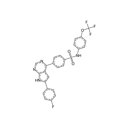 O=S(=O)(Nc1ccc(OC(F)(F)F)cc1)c1ccc(-c2ncnc3[nH]c(-c4ccc(F)cc4)cc23)cc1